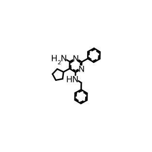 Nc1nc(-c2ccccc2)nc(NCc2ccccc2)c1C1CCCC1